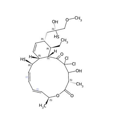 CC[C@H]1[C@@H]2C(=O)C(Cl)(Cl)C(O)[C@H](C)C(=O)O[C@@H](C)/C=C/C=C\[C@@H](S)[C@@H]2C=C[C@@H]1C[C@](O)(S)COC